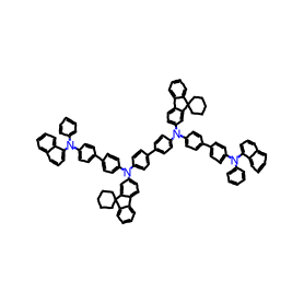 c1ccc(N(c2ccc(-c3ccc(N(c4ccc(-c5ccc(N(c6ccc(-c7ccc(N(c8ccccc8)c8cccc9ccccc89)cc7)cc6)c6ccc7c(c6)C6(CCCCC6)c6ccccc6-7)cc5)cc4)c4ccc5c(c4)C4(CCCCC4)c4ccccc4-5)cc3)cc2)c2cccc3ccccc23)cc1